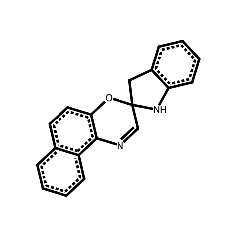 C1=Nc2c(ccc3ccccc23)OC12Cc1ccccc1N2